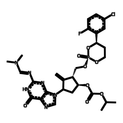 C=C1C(n2cnc3c(=O)[nH]c(/N=C/N(C)C)nc32)C[C@H](OC(=O)OC(C)C)[C@H]1CO[P@]1(=O)OCC[C@H](c2cc(Cl)ccc2F)O1